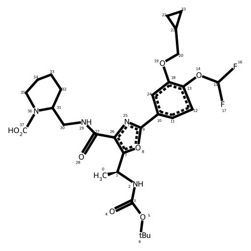 C[C@H](NC(=O)OC(C)(C)C)c1oc(-c2ccc(OC(F)F)c(OCC3CC3)c2)nc1C(=O)NCC1CCCCN1C(=O)O